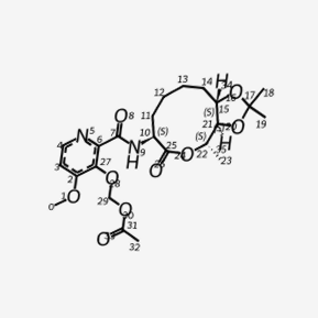 COc1ccnc(C(=O)N[C@H]2CCCC[C@@H]3OC(C)(C)O[C@H]3[C@H](C)OC2=O)c1OCOC(C)=O